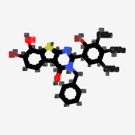 COc1cc(-c2nc3sc4c(O)c(Br)ccc4c3c(=O)n2Cc2ccccc2)c(Br)c(OC)c1OC